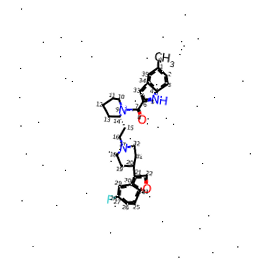 Cc1ccc2[nH]c(C(=O)N3CCCC[C@H]3CCN3CCC(c4coc5ccc(F)cc45)CC3)cc2c1